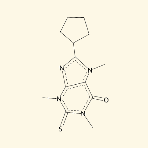 Cn1c(=O)c2c(nc(C3CCCC3)n2C)n(C)c1=S